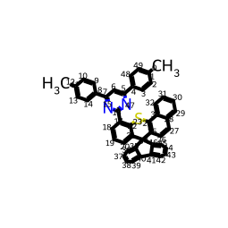 Cc1ccc(-c2cc(-c3ccc(C)cc3)nc(-c3cccc4c3Sc3c(ccc5ccccc35)C43c4ccccc4-c4ccccc43)n2)cc1